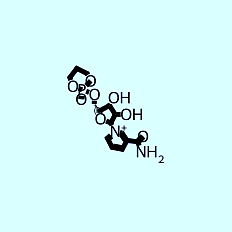 NC(=O)c1ccc[n+](C2O[C@H](COP3(=O)OCCCO3)C(O)C2O)c1